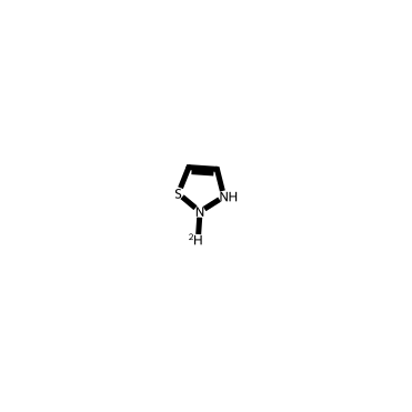 [2H]N1NC=CS1